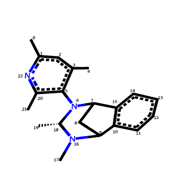 Cc1cc(C)c(N2C3CC(c4ccccc43)N(C)[C@@H]2C)c(C)n1